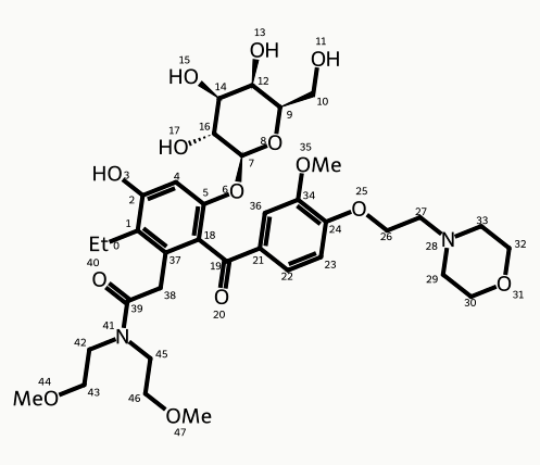 CCc1c(O)cc(O[C@@H]2O[C@H](CO)[C@H](O)[C@H](O)[C@H]2O)c(C(=O)c2ccc(OCCN3CCOCC3)c(OC)c2)c1CC(=O)N(CCOC)CCOC